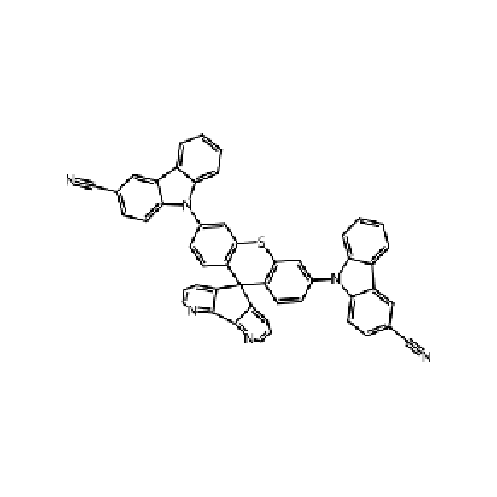 N#Cc1ccc2c(c1)c1ccccc1n2-c1ccc2c(c1)Sc1cc(-n3c4ccccc4c4cc(C#N)ccc43)ccc1C21c2cccnc2-c2ncccc21